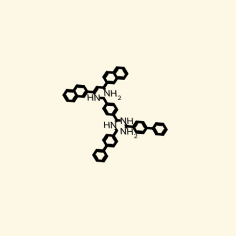 NC(/C=C(\NCc1ccc(C(NCc2ccc(-c3ccccc3)cc2)NC(N)c2ccc(-c3ccccc3)cc2)cc1)c1ccc2ccccc2c1)c1ccc2ccccc2c1